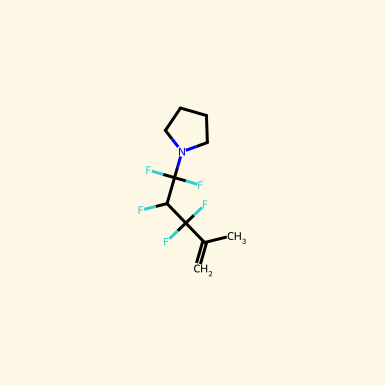 C=C(C)C(F)(F)C(F)C(F)(F)N1CCCC1